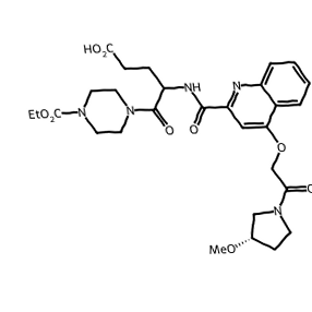 CCOC(=O)N1CCN(C(=O)C(CCC(=O)O)NC(=O)c2cc(OCC(=O)N3CC[C@H](OC)C3)c3ccccc3n2)CC1